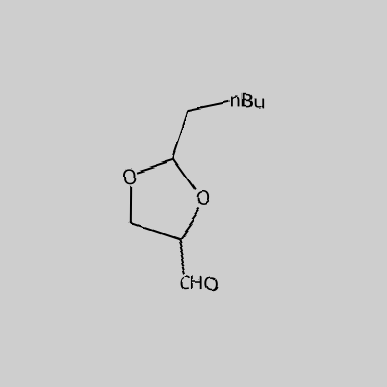 CCCCCC1OCC(C=O)O1